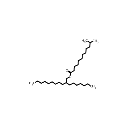 CCCCCCCCCC(CCCCCCC)COC(=O)CCCCCCCCCC(C)C